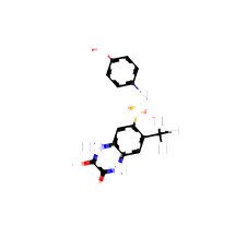 [2H]C([2H])([2H])c1cc2[nH]c(=O)c(=O)[nH]c2cc1S(=O)(=O)Nc1ccc(OC(F)(F)F)cc1